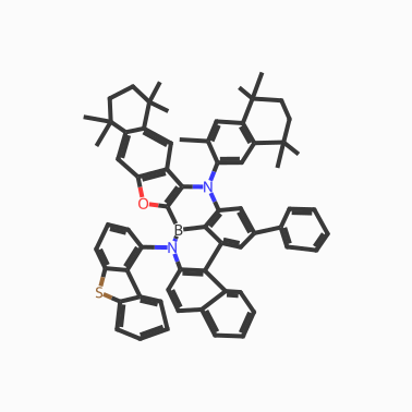 Cc1cc2c(cc1N1c3cc(-c4ccccc4)cc4c3B(c3oc5cc6c(cc5c31)C(C)(C)CCC6(C)C)N(c1cccc3sc5ccccc5c13)c1ccc3ccccc3c1-4)C(C)(C)CCC2(C)C